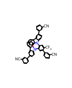 N#Cc1cccc(-c2ccc3c(c2)c2ccccc2n3-c2cc(-c3cccc(C#N)c3)c(C(F)(F)F)cc2-n2c3ccccc3c3cc(-c4cccc(C#N)c4)ccc32)c1